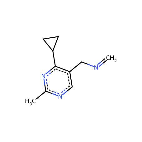 C=NCc1cnc(C)nc1C1CC1